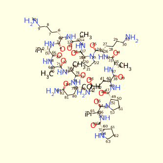 CC(C)[C@H](NC(=O)[C@H](CCCCN)NC(=O)[C@H](C)NC(=O)[C@@H]1CCCN1C(=O)[C@H](CCCCN)NC(=O)[C@H](C)NC(=O)[C@H](CCC(N)=O)NC(=O)[C@@H]1CCCN1C(=O)[C@@H](NC(=O)[C@@H]1CCCN1)C(C)C)C(=O)N[C@@H](C)C(=O)N[C@@H](C)C(=O)N[C@@H](CCC(N)=O)C(=O)O